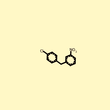 O=[N+]([O-])c1cc[c]c(Cc2ccc(Cl)cc2)c1